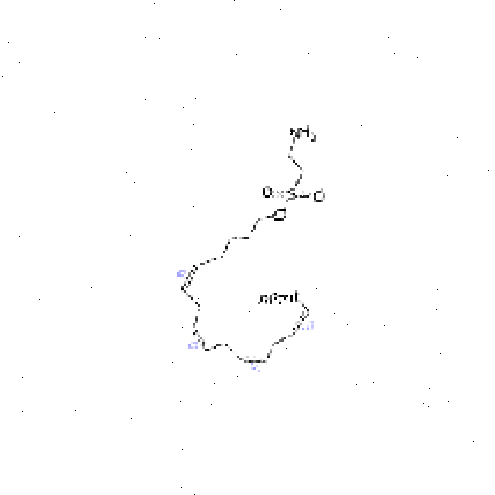 CCCCC/C=C\C/C=C\C/C=C\C/C=C\CCCCOS(=O)(=O)CCN